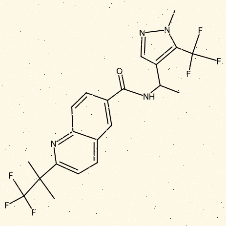 CC(NC(=O)c1ccc2nc(C(C)(C)C(F)(F)F)ccc2c1)c1cnn(C)c1C(F)(F)F